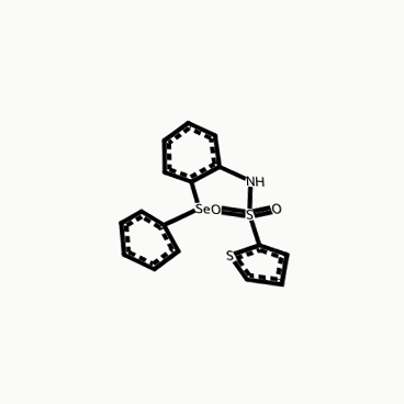 O=S(=O)(Nc1ccccc1[Se]c1ccccc1)c1cccs1